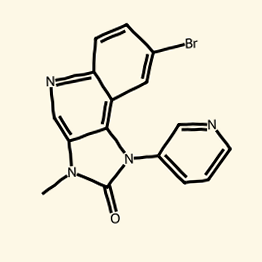 Cn1c(=O)n(-c2cccnc2)c2c3cc(Br)ccc3ncc21